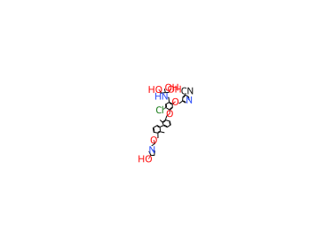 Cc1c(COCCN2CC[C@@H](O)C2)cccc1-c1cccc(COc2cc(OCc3cncc(C#N)c3)c(CNC(CO)(CO)CO)cc2Cl)c1C